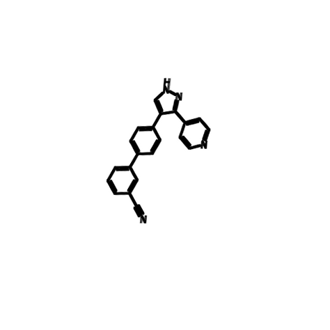 N#Cc1cccc(-c2ccc(-c3c[nH]nc3-c3ccncc3)cc2)c1